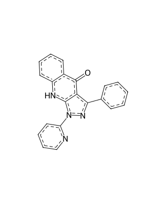 O=c1c2ccccc2[nH]c2c1c(-c1ccccc1)nn2-c1ccccn1